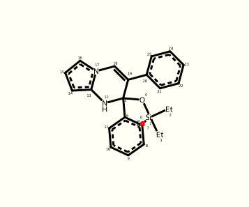 CC[Si](CC)(CC)OC1(c2ccccc2)Nc2cccn2C=C1c1ccccc1